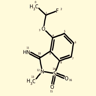 CC(F)Oc1cccc2c1C(=N)N(C)S2(=O)=O